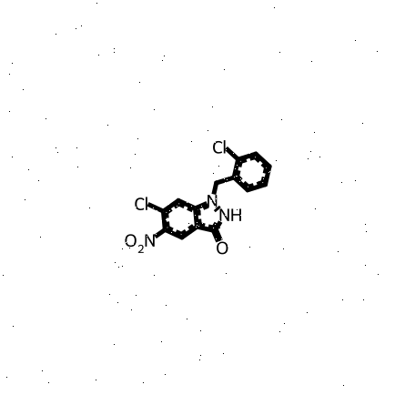 O=c1[nH]n(Cc2ccccc2Cl)c2cc(Cl)c([N+](=O)[O-])cc12